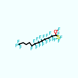 FOC(C(F)(F)C(F)(F)C(F)(F)C(F)(F)C(F)(F)C(F)(F)C(F)CCCC(F)(F)F)=S(F)(F)(F)F